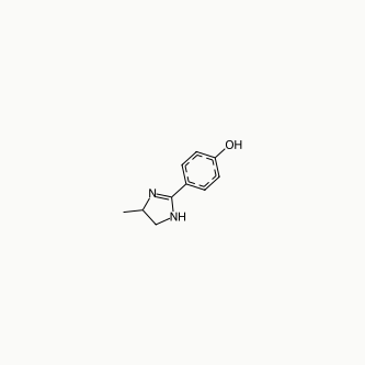 CC1CNC(c2ccc(O)cc2)=N1